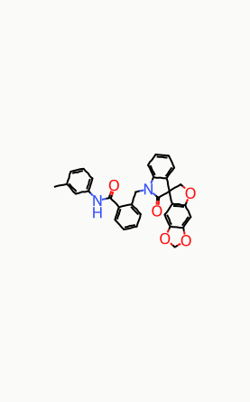 Cc1cccc(NC(=O)c2ccccc2CN2C(=O)C3(COc4cc5c(cc43)OCO5)c3ccccc32)c1